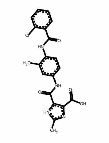 Cc1nc(C(=O)O)c(C(=O)Nc2ccc(NC(=O)c3ccccc3Cl)c(C)c2)[nH]1